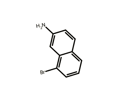 Nc1ccc2cccc(Br)c2c1